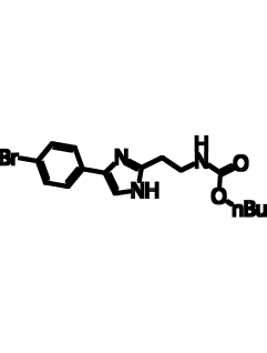 CCCCOC(=O)NCCc1nc(-c2ccc(Br)cc2)c[nH]1